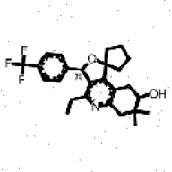 CCc1nc2c(c3c1[C@@H](c1ccc(C(F)(F)F)cc1)OC31CCCC1)CC(O)C(C)(C)C2